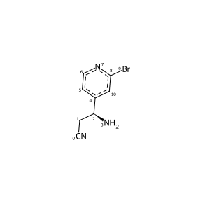 N#CC[C@H](N)c1ccnc(Br)c1